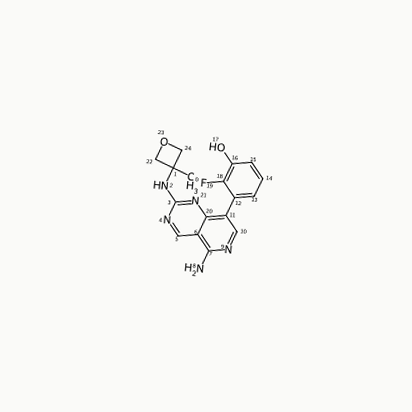 CC1(Nc2ncc3c(N)ncc(-c4cccc(O)c4F)c3n2)COC1